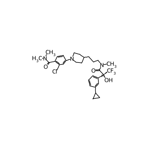 CN(C)C(=O)c1ccc(N2CCC(CCCN(C)C(=O)[C@](O)(c3cccc(C4CC4)c3)C(F)(F)F)CC2)cc1Cl